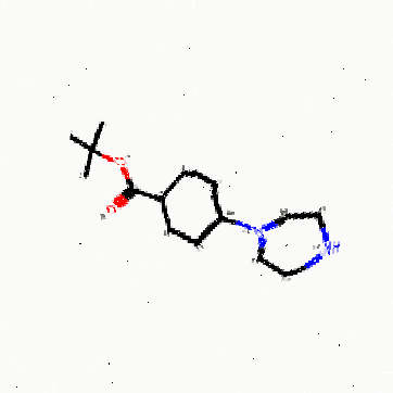 CC(C)(C)OC(=O)C1CCC(N2CCNCC2)CC1